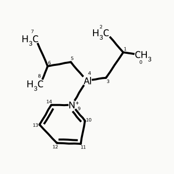 CC(C)[CH2][Al]([CH2]C(C)C)[n+]1ccccc1